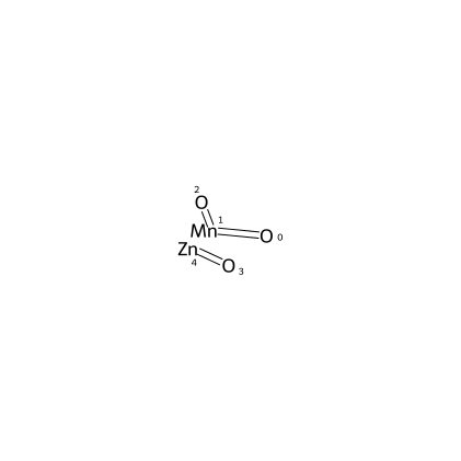 [O]=[Mn]=[O].[O]=[Zn]